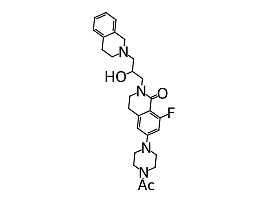 CC(=O)N1CCN(c2cc(F)c3c(c2)CCN(CC(O)CN2CCc4ccccc4C2)C3=O)CC1